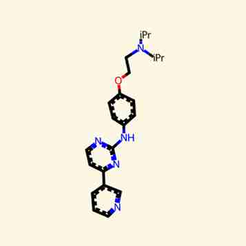 CC(C)N(CCOc1ccc(Nc2nccc(-c3cccnc3)n2)cc1)C(C)C